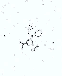 Cc1c(C(=O)O)cc([N+](=O)[O-])cc1N(CC1CCC1)C1CCOCC1